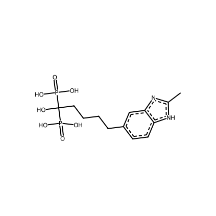 Cc1nc2cc(CCCCC(O)(P(=O)(O)O)P(=O)(O)O)ccc2[nH]1